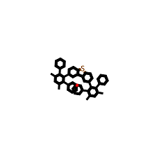 Cc1cc(C)c(-c2ccccc2)c(-c2ccc3sc4ccc(-c5c(-c6ccccc6)c(C)cc(C)c5-c5ccccc5)cc4c3c2)c1-c1ccccc1